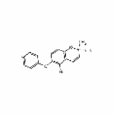 CC1(C)C=Cc2c(ccc(Oc3ccncc3)c2Br)O1